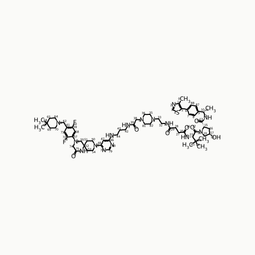 Cc1ncsc1-c1ccc([C@H](C)NC(=O)[C@@H]2C[C@@H](O)CN2C(=O)[C@@H](NC(=O)CCC(=O)NCCN2CCN(CC(=O)NCCCNc3cc(N4CCC5(CC4)CN(c4cc(F)c(CN6CCC(C)(C)CC6)cc4F)CC(=O)N5)ncn3)CC2)C(C)(C)C)cc1